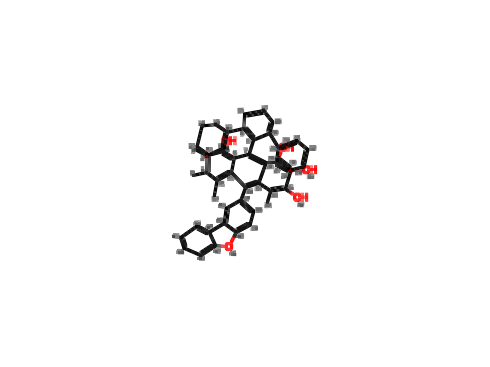 Cc1c(C)c(O)c2c(-c3c(C4=CCCCC4)cccc3-c3ccccc3)c3c(O)c(O)c(O)c(C)c3c(-c3ccc4oc5ccccc5c4c3)c2c1C